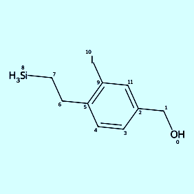 OCc1ccc(CC[SiH3])c(I)c1